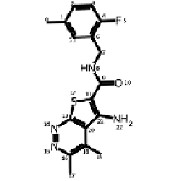 Cc1ccc(F)c(CNC(=O)c2sc3nnc(C)c(C)c3c2N)c1